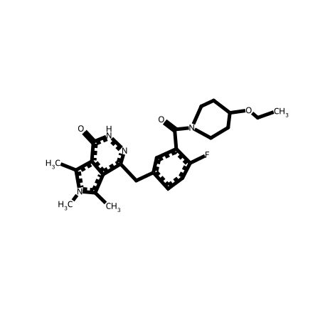 CCOC1CCN(C(=O)c2cc(Cc3n[nH]c(=O)c4c(C)n(C)c(C)c34)ccc2F)CC1